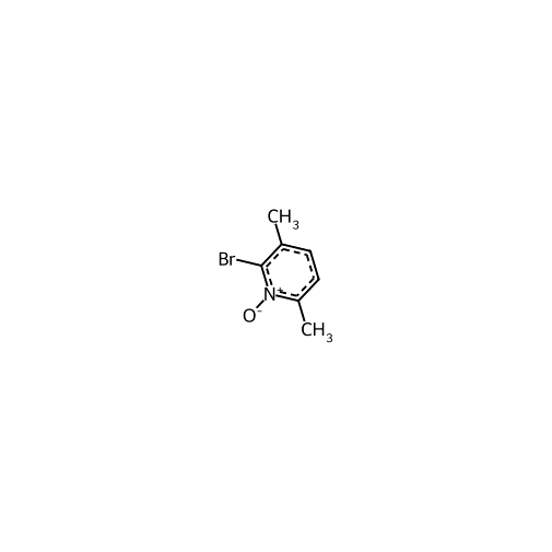 Cc1ccc(C)[n+]([O-])c1Br